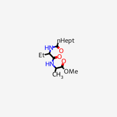 CCCCCCCC(=O)NC(CC)C(=O)NC(C)C(=O)OC